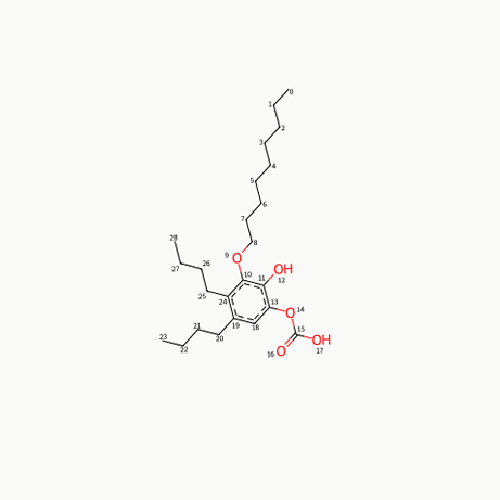 CCCCCCCCCOc1c(O)c(OC(=O)O)cc(CCCC)c1CCCC